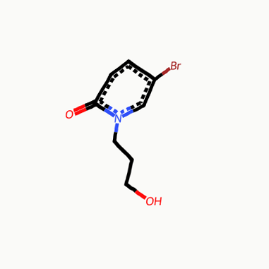 O=c1ccc(Br)cn1CCCO